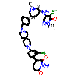 CN1C[C@H](Nc2cnn(C)c(=O)c2Br)C[C@H](c2ccc(CN3CCC4(CC3)CCN(c3ccc(C5CCC(=O)NC5=O)c(F)c3)CC4)cc2)C1